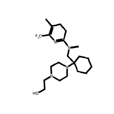 CC1=C(C(F)(F)F)N=C(N(C)CC2(N3CCN(CCO)CC3)CCCCC2)CC1